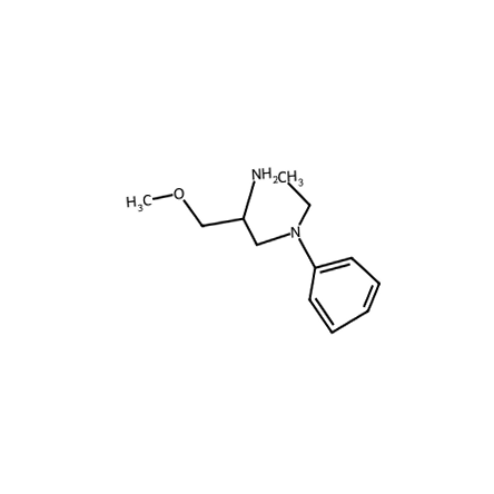 CCN(CC(N)COC)c1ccccc1